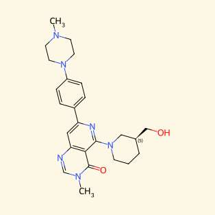 CN1CCN(c2ccc(-c3cc4ncn(C)c(=O)c4c(N4CCC[C@H](CO)C4)n3)cc2)CC1